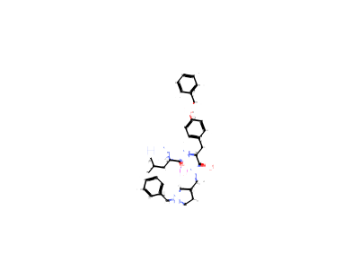 CC(C)CC(N)C(=O)NC(Cc1ccc(OCc2ccccc2)cc1)C(=O)NCC1CCN(Cc2ccccc2)C1